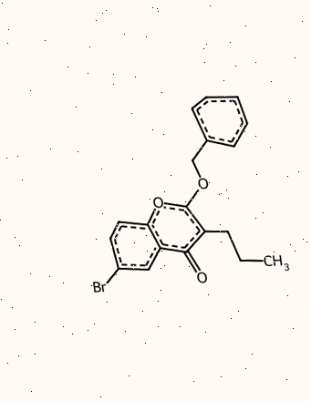 CCCc1c(OCc2ccccc2)oc2ccc(Br)cc2c1=O